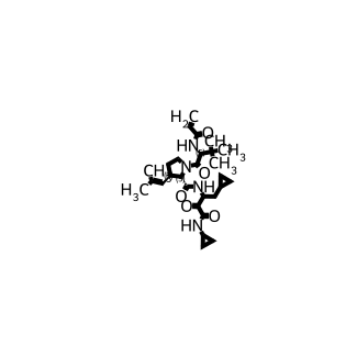 C=CC(=O)N[C@H](C(=O)N1CC[C@H](C=C(C)C)[C@H]1C(=O)NC(CC1CC1)C(=O)C(=O)NC1CC1)C(C)(C)C